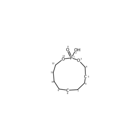 O=P1(O)OCCCCCCCCCO1